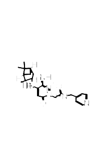 C[C@@H]1[C@H]2C[C@@H](C[C@H]1Nc1cc(=O)n(CC(=O)NCc3ccncc3)nc1N)C2(C)C